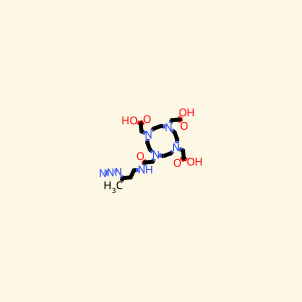 CC(CCNC(=O)CN1CCN(CC(=O)O)CCN(CC(=O)O)CCN(CC(=O)O)CC1)N=[N+]=[N-]